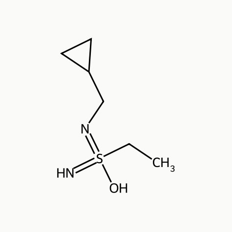 CCS(=N)(O)=NCC1CC1